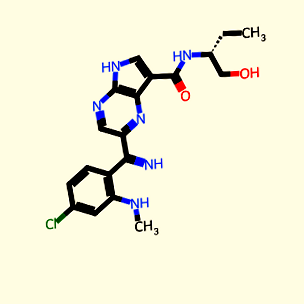 CC[C@H](CO)NC(=O)c1c[nH]c2ncc(C(=N)c3ccc(Cl)cc3NC)nc12